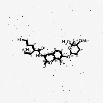 C\C=C/C(=C\C=C\CC)C(=O)Nc1cc2ccc(OC3CCC(OC)C(C)(C)O3)c(C)c2oc1=O